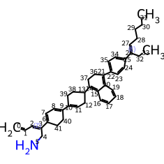 C=C/C=C(\CN)C1=CC=C(C2=CCC(C3=c4ccccc4=C(c4ccc(/C(=C/CCCC)CC)cc4)CC3)CC2)CC1